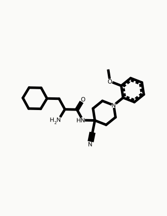 COc1ccccc1N1CCC(C#N)(NC(=O)C(N)CC2CCCCC2)CC1